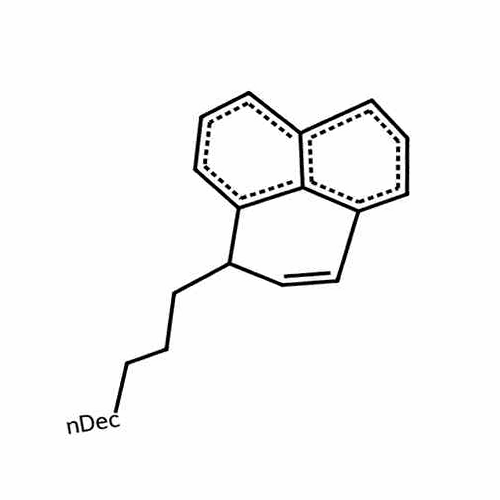 CCCCCCCCCCCCCC1C=Cc2cccc3cccc1c23